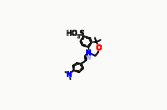 CN(C)c1ccc(/C=C/N2CCOC(C)(C)c3cc(S(=O)(=O)O)ccc32)cc1